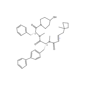 CN(C(=O)/C=C/CC1(C)CCC1)[C@H](Cc1ccc(-c2ccccc2)cc1)C(=O)N(C)[C@H](Cc1ccccc1)C(=O)N1CCC(O)CC1